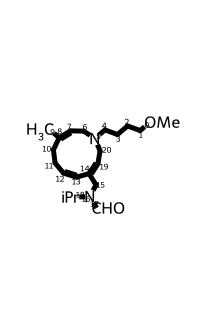 COCCCCN1C/C=C(/C)CC/C=C\C(CN(C=O)C(C)C)=C/C1